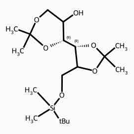 CC1(C)OCC(O)[C@H]([C@@H]2OC(C)(C)OC2CO[Si](C)(C)C(C)(C)C)O1